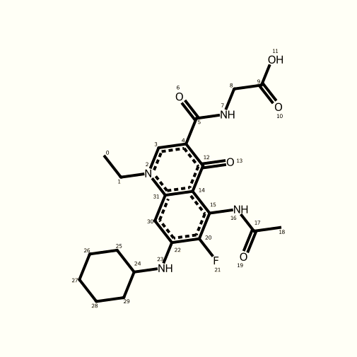 CCn1cc(C(=O)NCC(=O)O)c(=O)c2c(NC(C)=O)c(F)c(NC3CCCCC3)cc21